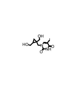 O=c1[nH]c(=O)n(CC2(CO)CC2CO)cc1I